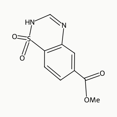 COC(=O)c1ccc2c(c1)N=CNS2(=O)=O